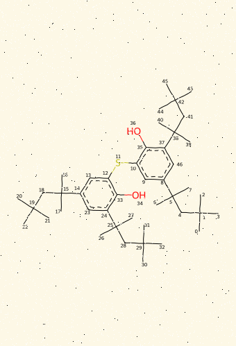 CC(C)(C)CC(C)(C)c1cc(Sc2cc(C(C)(C)CC(C)(C)C)cc(C(C)(C)CC(C)(C)C)c2O)c(O)c(C(C)(C)CC(C)(C)C)c1